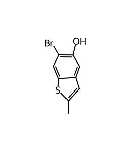 Cc1cc2cc(O)c(Br)cc2s1